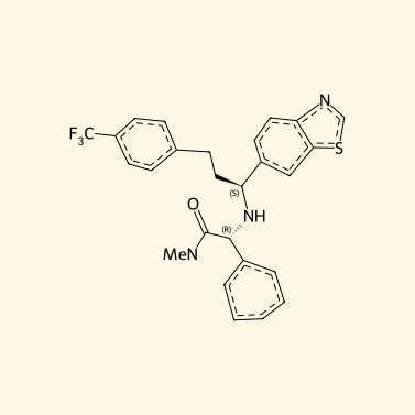 CNC(=O)[C@H](N[C@@H](CCc1ccc(C(F)(F)F)cc1)c1ccc2ncsc2c1)c1ccccc1